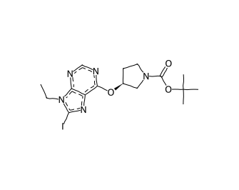 CCn1c(I)nc2c(O[C@H]3CCN(C(=O)OC(C)(C)C)C3)ncnc21